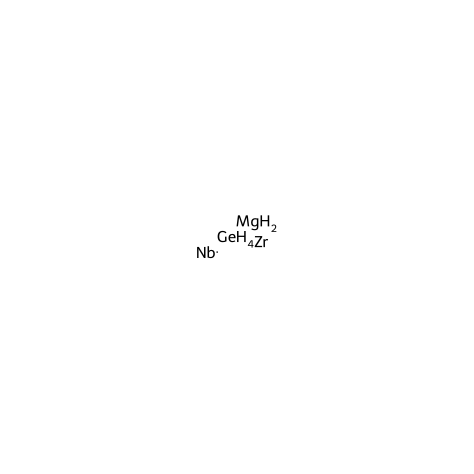 [GeH4].[MgH2].[Nb].[Zr]